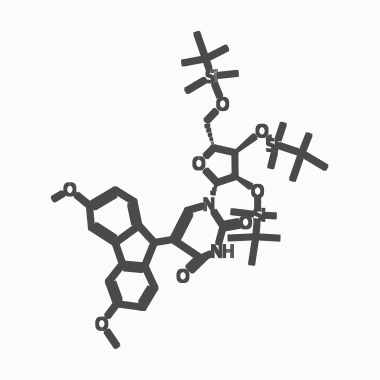 COc1ccc2c(c1)-c1cc(OC)ccc1C2c1cn([C@@H]2O[C@H](CO[Si](C)(C)C(C)(C)C)[C@@H](O[Si](C)(C)C(C)(C)C)[C@H]2O[Si](C)(C)C(C)(C)C)c(=O)[nH]c1=O